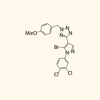 COc1ccc(Cn2nnc(-c3cnn(-c4ccc(Cl)c(Cl)c4)c3Br)n2)cc1